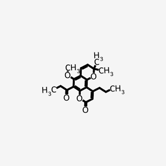 CCCc1cc(=O)oc2c(C(=O)CC)c(OC)c3c(c12)OC(C)(C)C=C3